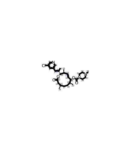 C/C(=C\c1cncc(Cl)c1)[C@H]1OC(=O)C[C@H](C)CC[C@H](C)[C@@H](OC(=O)N2CCN(C)CC2)/C=C/[C@@H]1C